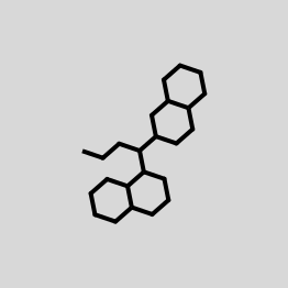 CCCC(C1CCC2CCCCC2C1)C1CCCC2CCCCC21